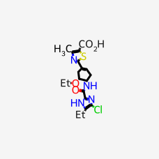 CCO[C@H]1CC(c2nc(C)c(C(=O)O)s2)=CC[C@H]1NC(=O)c1nc(Cl)c(CC)[nH]1